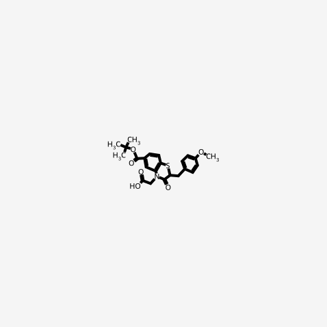 COc1ccc(CC2Sc3ccc(C(=O)OC(C)(C)C)cc3N(CC(=O)O)C2=O)cc1